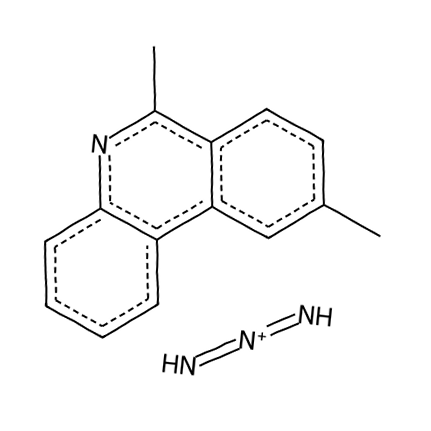 Cc1ccc2c(C)nc3ccccc3c2c1.N=[N+]=N